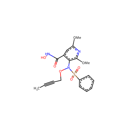 CC#CCON(c1c(C(=O)NO)cc(OC)nc1OC)S(=O)(=O)c1ccccc1